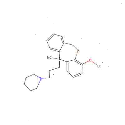 CCOc1cccc2c1SCc1ccccc1C2(C#N)CCCN1CCCCC1